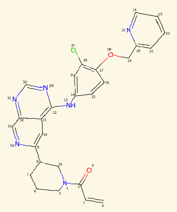 C=CC(=O)N1CCCC(c2cc3c(Nc4ccc(OCc5ccccn5)c(Cl)c4)ncnc3cn2)C1